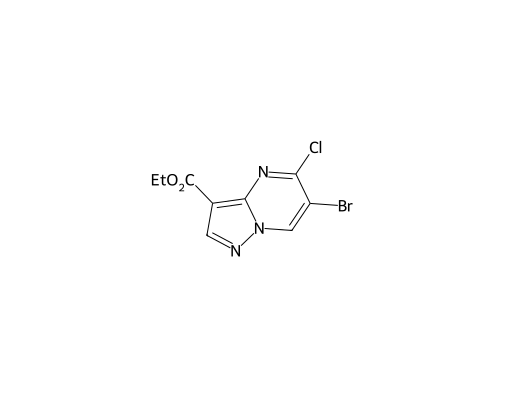 CCOC(=O)c1cnn2cc(Br)c(Cl)nc12